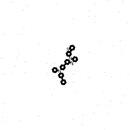 CN1c2ccccc2N(c2ccc3sc4ccccc4c3c2)c2ccc(-c3ccc(N(c4ccccc4)c4ccc(-c5ccccc5)cc4)cc3)cc21